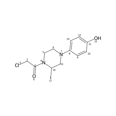 O=C(CCl)N1CCN(c2ccc(O)cc2)CC1I